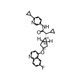 O=C(Nc1ccc(C2CC2)nc1)C(C1CC1)[C@@H]1[C@@H]2C[C@@H](Oc3ccnc4ccc(F)cc34)C[C@@H]21